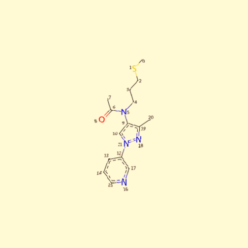 CSCCCN(C(C)=O)c1cn(-c2cccnc2)nc1C